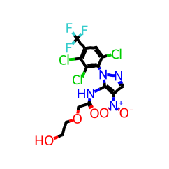 O=C(COCCO)Nc1c([N+](=O)[O-])cnn1-c1c(Cl)cc(C(F)(F)F)c(Cl)c1Cl